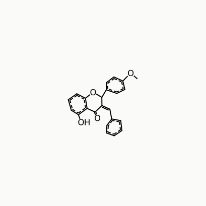 COc1ccc(C2Oc3cccc(O)c3C(=O)C2=Cc2ccccc2)cc1